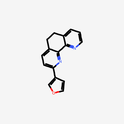 c1cnc2c(c1)CCc1ccc(-c3ccoc3)nc1-2